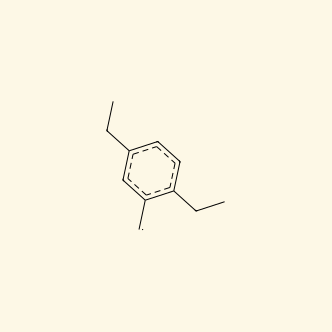 [CH2]c1cc(CC)ccc1CC